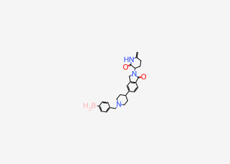 Bc1ccc(CN2CCC(c3ccc4c(c3)CN(C3CCC(=C)NC3=O)C4=O)CC2)cc1